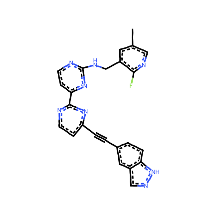 Cc1cnc(F)c(CNc2nccc(-c3nccc(C#Cc4ccc5[nH]ncc5c4)n3)n2)c1